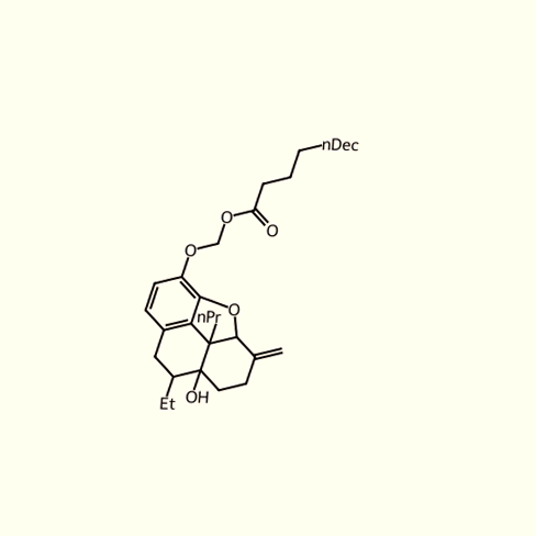 C=C1CCC2(O)C(CC)Cc3ccc(OCOC(=O)CCCCCCCCCCCCC)c4c3C2(CCC)C1O4